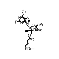 C#CC(COC(=O)CCCCCCCCCCCCC)(OC)[C@H](Cn1cnc2c(N)nc(F)nc21)OC(=O)CCC